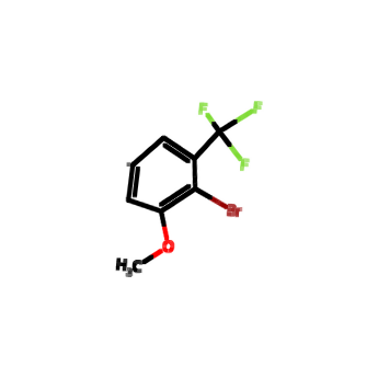 COc1c[c]cc(C(F)(F)F)c1Br